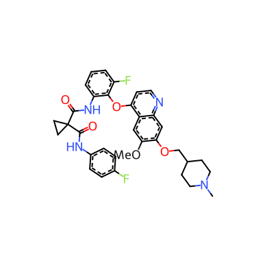 COc1cc2c(Oc3c(F)cccc3NC(=O)C3(C(=O)Nc4ccc(F)cc4)CC3)ccnc2cc1OCC1CCN(C)CC1